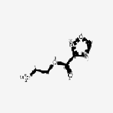 CCCOC(=O)c1ncon1